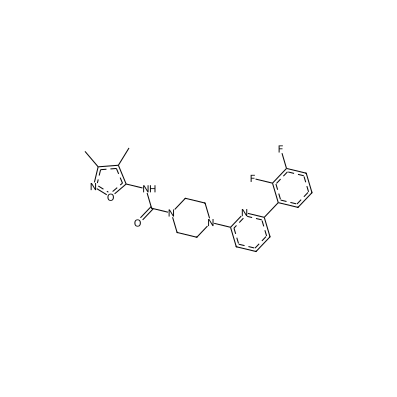 Cc1noc(NC(=O)N2CCN(c3cccc(-c4cccc(F)c4F)n3)CC2)c1C